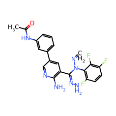 C=NN(/C(=N\N)c1cc(-c2cccc(NC(C)=O)c2)cnc1N)c1c(F)ccc(F)c1F